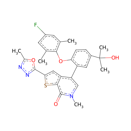 Cc1nnc(-c2cc3c(-c4cc(C(C)(C)O)ccc4Oc4c(C)cc(F)cc4C)cn(C)c(=O)c3s2)o1